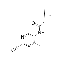 Cc1cc(C#N)nc(I)c1NC(=O)OC(C)(C)C